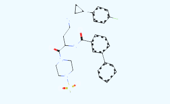 CS(=O)(=O)N1CCN(C(=O)C(CCN[C@@H]2C[C@H]2c2ccc(F)cc2)NC(=O)c2cccc(-c3ccccc3)c2)CC1